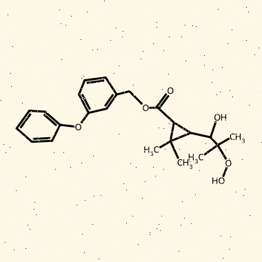 CC(C)(OO)C(O)C1C(C(=O)OCc2cccc(Oc3ccccc3)c2)C1(C)C